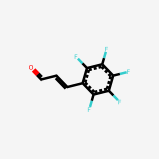 O=[C]C=Cc1c(F)c(F)c(F)c(F)c1F